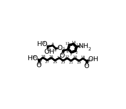 Nc1ccc(C(=O)OCCC(O)O)cc1.O=C(O)CCCCCCCCCCCC(=O)O